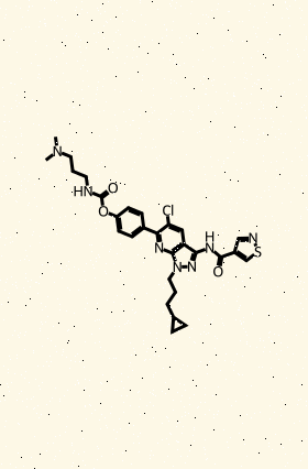 CN(C)CCCNC(=O)Oc1ccc(-c2nc3c(cc2Cl)c(NC(=O)c2cnsc2)nn3CCCC2CC2)cc1